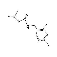 Cc1c[c]c(CNC(=O)OC(C)C)c(C)c1